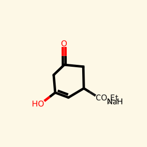 CCOC(=O)C1C=C(O)CC(=O)C1.[NaH]